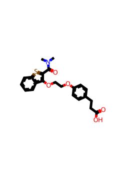 CN(C)C(=O)c1sc2ccccc2c1OCCOc1ccc(CCC(=O)O)cc1